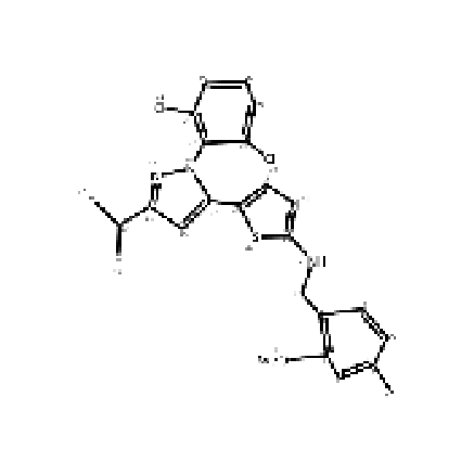 COc1cc(C)ccc1CNc1ncc(-c2cc(C(F)F)nn2-c2c(Cl)cccc2Cl)s1